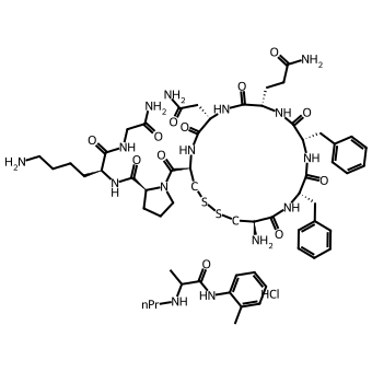 CCCNC(C)C(=O)Nc1ccccc1C.Cl.NCCCC[C@H](NC(=O)[C@@H]1CCCN1C(=O)[C@@H]1CSSC[C@H](N)C(=O)N[C@@H](Cc2ccccc2)C(=O)N[C@@H](Cc2ccccc2)C(=O)N[C@@H](CCC(N)=O)C(=O)N[C@@H](CC(N)=O)C(=O)N1)C(=O)NCC(N)=O